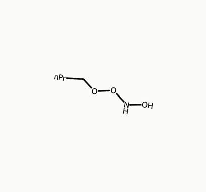 CCCCOONO